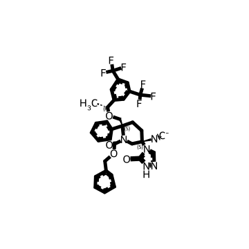 [C-]#[N+][C@]1(n2cn[nH]c2=O)CC[C@@](CO[C@H](C)c2cc(C(F)(F)F)cc(C(F)(F)F)c2)(c2ccccc2)N(C(=O)OCc2ccccc2)C1